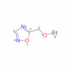 [CH2]COCc1ncno1